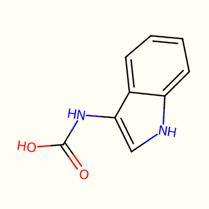 O=C(O)Nc1c[nH]c2ccccc12